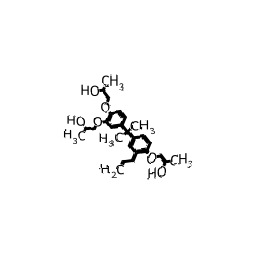 [CH2]CCc1cc(C(C)(C)c2ccc(OCC(C)O)c(OCC(C)O)c2)ccc1OCC(C)O